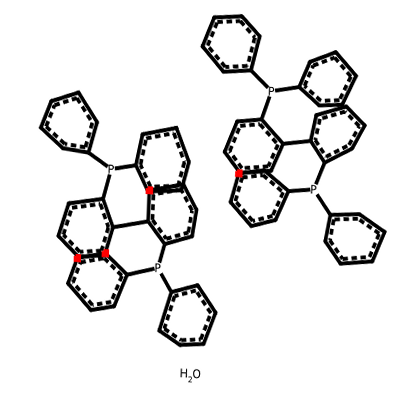 O.c1ccc(P(c2ccccc2)c2ccccc2-c2ccccc2P(c2ccccc2)c2ccccc2)cc1.c1ccc(P(c2ccccc2)c2ccccc2-c2ccccc2P(c2ccccc2)c2ccccc2)cc1